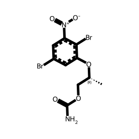 C[C@H](COC(N)=O)Oc1cc(Br)cc([N+](=O)[O-])c1Br